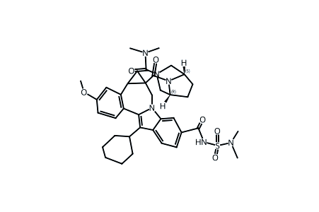 COc1ccc2c(c1)C1CC1(C(=O)N1[C@@H]3CC[C@H]1CN(C(=O)N(C)C)C3)Cn1c-2c(C2CCCCC2)c2ccc(C(=O)NS(=O)(=O)N(C)C)cc21